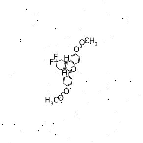 COCOc1ccc([C@H]2Oc3ccc(OCOC)cc3[C@H]3CC(F)(F)CC[C@H]32)cc1